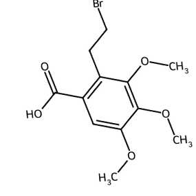 COc1cc(C(=O)O)c(CCBr)c(OC)c1OC